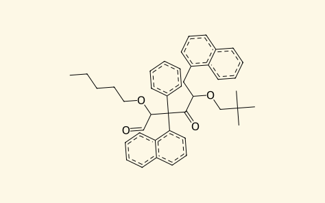 CCCCCOC(C=O)C(C(=O)C(Cc1cccc2ccccc12)OCC(C)(C)C)(c1ccccc1)c1cccc2ccccc12